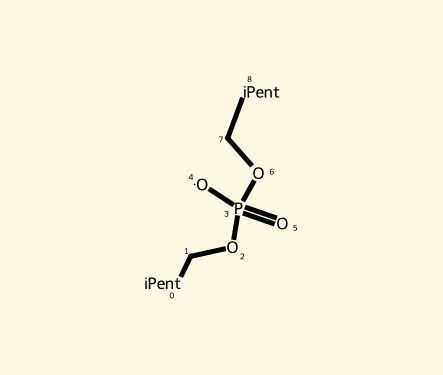 CCCC(C)COP([O])(=O)OCC(C)CCC